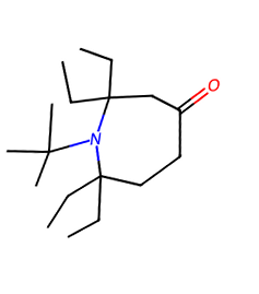 CCC1(CC)CCC(=O)CC(CC)(CC)N1C(C)(C)C